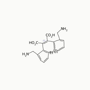 CCc1cccc(CN)c1/C(C(=O)O)=C(/C(=O)O)c1c(CC)cccc1CN